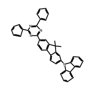 CC1(C)c2cc(-c3nc(-c4ccccc4)nc(-c4ccccc4)n3)ccc2-c2ccc(-n3c4ccccc4c4ccccc43)cc21